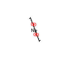 CC(C)CCCCCOC(=O)CCCCCCCCC(=O)OCCCCCC(C)C.[Na]